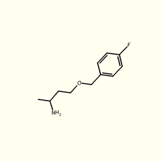 CC(N)CCOCc1ccc(F)cc1